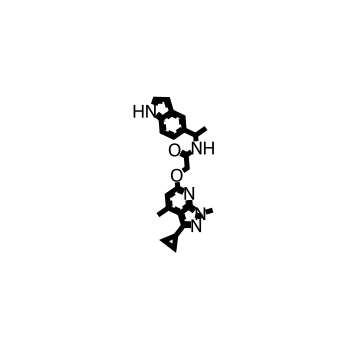 Cc1cc(OCC(=O)NC(C)c2ccc3[nH]ccc3c2)nc2c1c(C1CC1)nn2C